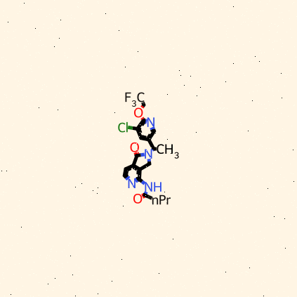 CCCC(=O)Nc1nccc2c1CN(C(C)c1cnc(OCC(F)(F)F)c(Cl)c1)C2=O